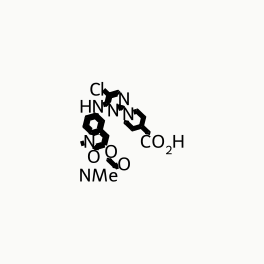 CNC(=O)COc1cc2cc(Nc3nc(N4CCC(CC(=O)O)CC4)ncc3Cl)ccc2n(C)c1=O